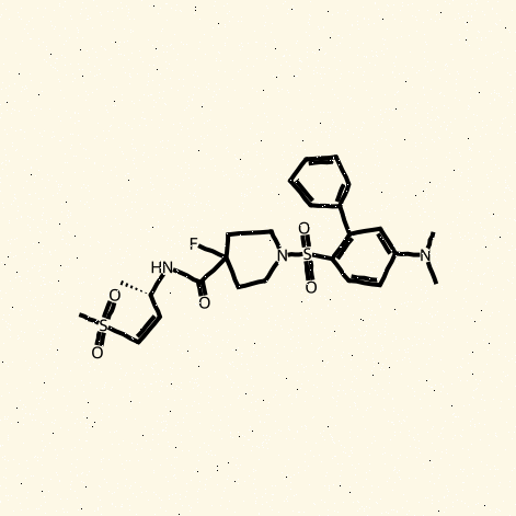 C[C@@H](/C=C\S(C)(=O)=O)NC(=O)C1(F)CCN(S(=O)(=O)c2ccc(N(C)C)cc2-c2ccccc2)CC1